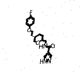 O=C(NCC1CC[C@@H](CCOc2ccc(F)cc2)CO1)c1cn[nH]c1